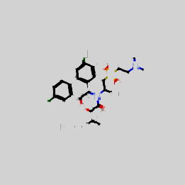 CCC(CS(=O)(=O)CCN(C)C)N1C(=O)[C@H](C(C)C(=O)O)O[C@H](c2cccc(Cl)c2)[C@H]1c1ccc(Cl)cc1